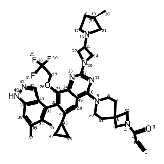 C=CC(=O)N1CC2(CCN(c3nc(N4CC(N5CC[C@@H](C)C5)C4)nc4c(OCC(F)(F)F)c(-c5c(C)c(C)cc6[nH]ncc56)c(C5CC5)cc34)CC2)C1